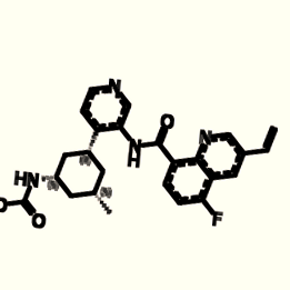 C=Cc1cnc2c(C(=O)Nc3cnccc3[C@@H]3C[C@H](C)C[C@H](NC(=O)O)C3)ccc(F)c2c1